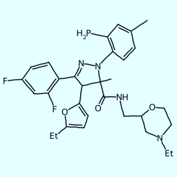 CCc1ccc(C2C(c3ccc(F)cc3F)=NN(c3ccc(C)cc3P)C2(C)C(=O)NCC2CN(CC)CCO2)o1